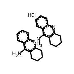 Cl.Nc1c2c(nc3ccccc13)CCCC2.Nc1c2c(nc3ccccc13)CCCC2